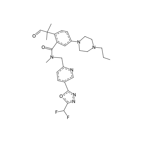 CCCN1CCN(c2ccc(C(C)(C)C=O)c(C(=O)N(C)Cc3ccc(-c4nnc(C(F)F)o4)cn3)c2)CC1